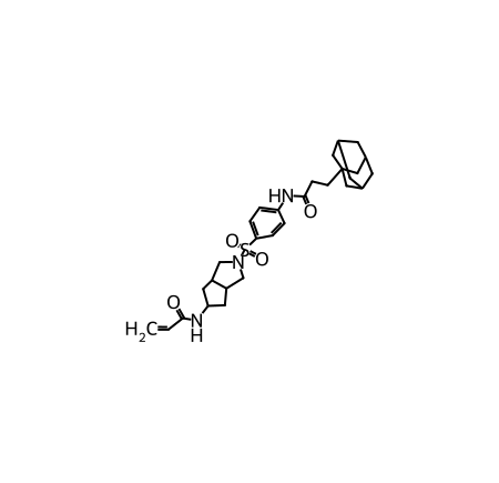 C=CC(=O)NC1CC2CN(S(=O)(=O)c3ccc(NC(=O)CCC45CC6CC(CC(C6)C4)C5)cc3)CC2C1